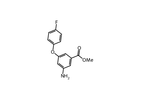 COC(=O)c1cc(N)cc(Oc2ccc(F)cc2)c1